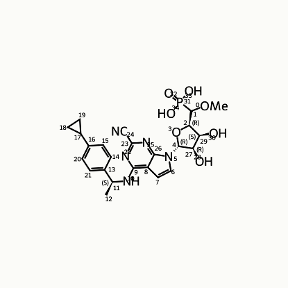 COC([C@@H]1O[C@@H](n2ccc3c(N[C@@H](C)c4ccc(C5CC5)cc4)nc(C#N)nc32)[C@H](O)[C@@H]1O)P(=O)(O)O